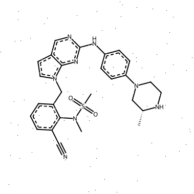 C[C@@H]1CN(c2ccc(Nc3ncc4ccn(Cc5cccc(C#N)c5N(C)S(C)(=O)=O)c4n3)cc2)CCN1